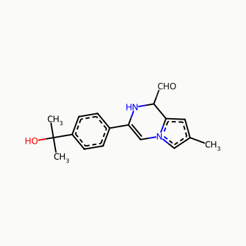 Cc1cc2n(c1)C=C(c1ccc(C(C)(C)O)cc1)NC2C=O